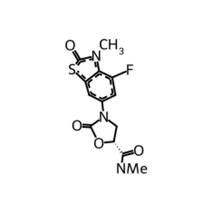 CNC(=O)[C@H]1CN(c2cc(F)c3c(c2)sc(=O)n3C)C(=O)O1